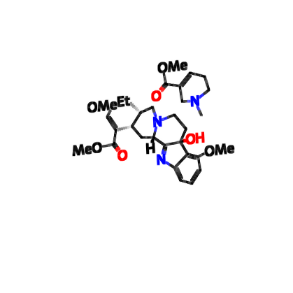 CC[C@@H]1CN2CC[C@@]3(O)C(=Nc4cccc(OC)c43)[C@@H]2C[C@@H]1/C(=C\OC)C(=O)OC.COC(=O)C1=CCCN(C)C1